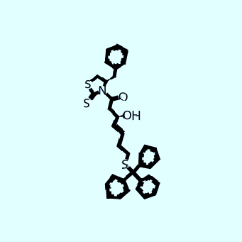 O=C(C[C@H](O)/C=C/CCSC(c1ccccc1)(c1ccccc1)c1ccccc1)N1C(=S)SC[C@H]1Cc1ccccc1